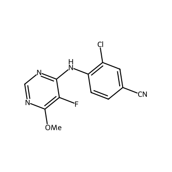 COc1ncnc(Nc2ccc(C#N)cc2Cl)c1F